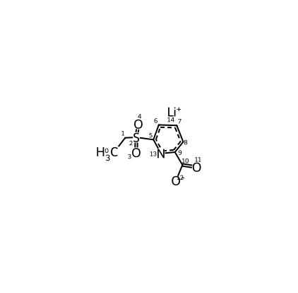 CCS(=O)(=O)c1cccc(C(=O)[O-])n1.[Li+]